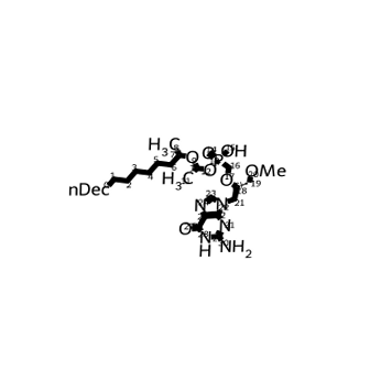 CCCCCCCCCCCCCCCCC(C)OC(C)OP(=O)(O)CO[C@H](COC)Cn1cnc2c(=O)[nH]c(N)nc21